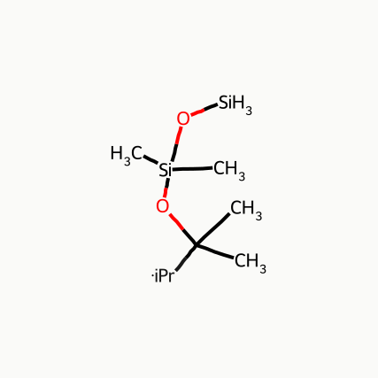 C[C](C)C(C)(C)O[Si](C)(C)O[SiH3]